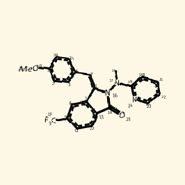 COc1ccc(C=C2c3cc(C(F)(F)F)ccc3C(=O)N2N(C)c2ccccn2)cc1